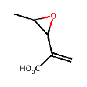 C=C(C(=O)O)C1OC1C